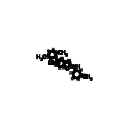 COc1c(C)ccc(C)c1-c1ccc2oc(N[C@@H]3CCCN(C)C3)nc2n1